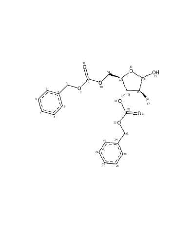 O=C(OCc1ccccc1)OC[C@H]1OC(O)[C@@H](F)[C@@H]1OC(=O)OCc1ccccc1